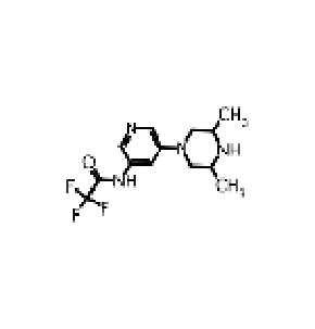 CC1CN(c2cncc(NC(=O)C(F)(F)F)c2)CC(C)N1